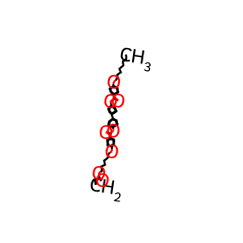 C=CC(=O)OCCCCCCOc1ccc(C(=O)Oc2ccc(-c3ccc(OC(=O)c4ccc(OCCCCCCCC)cc4)cc3)cc2)cc1